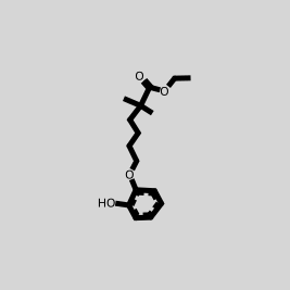 CCOC(=O)C(C)(C)CCCCOc1ccccc1O